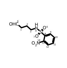 O=CCCCNS(=O)(=O)c1ccccc1[N+](=O)[O-]